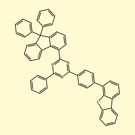 c1ccc(-c2nc(-c3ccc(-c4cccc5c4sc4ccccc45)cc3)nc(-c3cccc4c3-c3ccccc3C4(c3ccccc3)c3ccccc3)n2)cc1